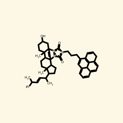 CC(C)C(C)/C=C/C(C)C1CCC2C1(C)CCC1C23C=CC2(CC(O)CCC12C)n1c(=O)n(CCCC2=CC4=CC=CC5=CC=C6CC=CC2=C6C54)c(=O)n13